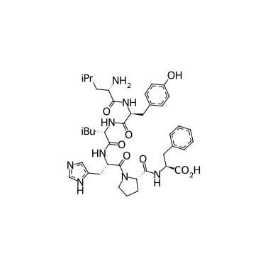 CCC(C)[C@H](NC(=O)[C@H](Cc1ccc(O)cc1)NC(=O)[C@@H](N)CC(C)C)C(=O)N[C@@H](Cc1cnc[nH]1)C(=O)N1CCC[C@H]1C(=O)N[C@@H](Cc1ccccc1)C(=O)O